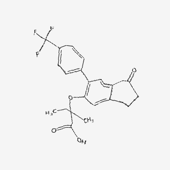 CC(C)(Oc1cc2c(cc1-c1ccc(C(F)(F)F)cc1)C(=O)CC2)C(=O)O